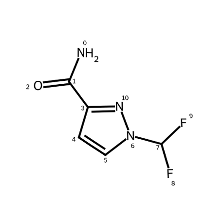 NC(=O)c1ccn(C(F)F)n1